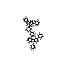 c1ccc(-c2ccc3c(c2)c2c(-c4cccc(-c5cccc(-c6nc(-c7ccccc7)nc7c6sc6ccccc67)c5)c4)cccc2n3-c2ccccc2)cc1